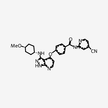 CO[C@H]1CC[C@H](Nc2n[nH]c3nccc(Oc4ccc(C(=O)Nc5cc(C#N)ccn5)cc4)c23)CC1